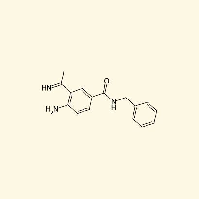 CC(=N)c1cc(C(=O)NCc2ccccc2)ccc1N